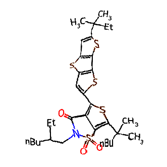 CCCCC(CC)CN1C(=O)c2c(-c3cc4sc5cc(C(C)(C)CC)sc5c4s3)sc(C(C)(C)CCCC)c2S1(=O)=O